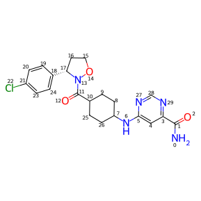 NC(=O)c1cc(NC2CCC(C(=O)N3OCC[C@H]3c3ccc(Cl)cc3)CC2)ncn1